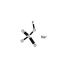 O=S(=O)([O-])OF.[Na+]